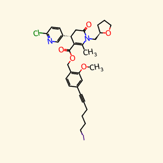 COc1cc(C#CCCCCI)ccc1COC(=O)C1=C(C)N(C[C@H]2CCCO2)C(=O)C[C@H]1c1ccc(Cl)nc1